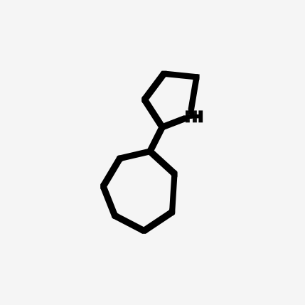 C1CCCC(C2CCCP2)CC1